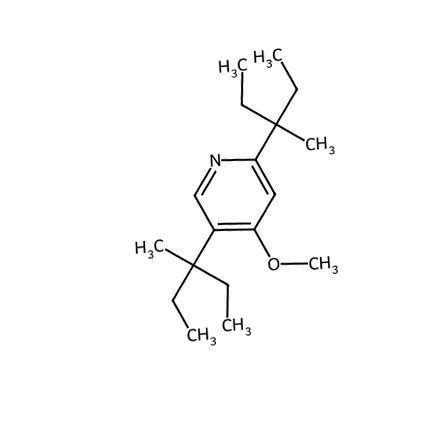 CCC(C)(CC)c1cc(OC)c(C(C)(CC)CC)cn1